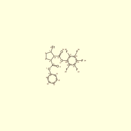 [CH2]CC1C[CH]C(C(=O)Oc2ccccc2)C1C(=O)Oc1c(F)c(F)c(F)c(F)c1F